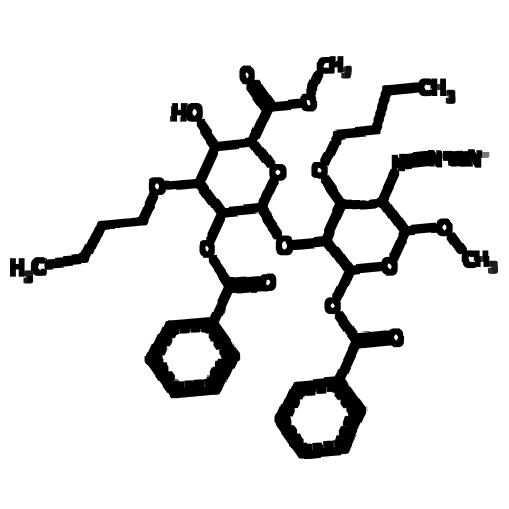 CCCCOC1C(O)C(C(=O)OC)OC(OC2C(OC(=O)c3ccccc3)OC(OC)C(N=[N+]=[N-])C2OCCCC)C1OC(=O)c1ccccc1